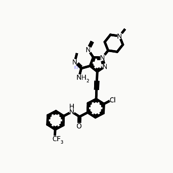 C=Nc1c(/C(N)=N\C)c(C#Cc2cc(C(=O)Nc3cccc(C(F)(F)F)c3)ccc2Cl)nn1C1CCN(C)CC1